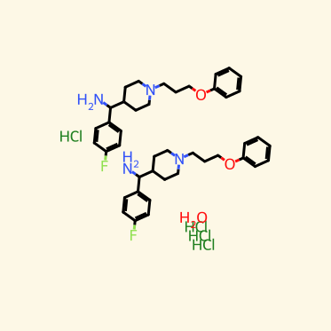 Cl.Cl.Cl.Cl.NC(c1ccc(F)cc1)C1CCN(CCCOc2ccccc2)CC1.NC(c1ccc(F)cc1)C1CCN(CCCOc2ccccc2)CC1.O